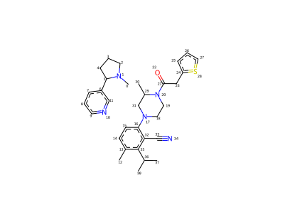 CN1CCCC1c1cccnc1.Cc1ccc(N2CCN(C(=O)Cc3cccs3)C(C)C2)c(C#N)c1C(C)C